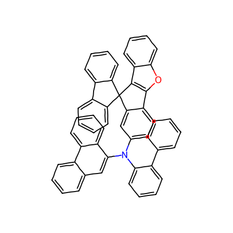 c1ccc(-c2ccccc2N(c2ccc3c(c2)C2(c4ccccc4-c4ccccc42)c2c-3oc3ccccc23)c2cc3ccccc3c3ccccc23)cc1